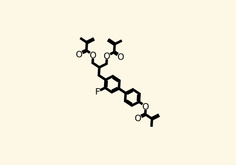 C=C(C)C(=O)OCC(COC(=O)C(=C)C)Cc1ccc(-c2ccc(OC(=O)C(=C)C)cc2)cc1F